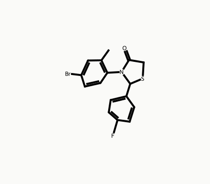 Cc1cc(Br)ccc1N1C(=O)CSC1c1ccc(F)cc1